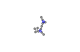 c1ccc(Cc2ccccc2-c2ccc(N(c3ccc(-c4ccccc4)cc3)c3ccc(-c4ccc(-c5ccc6c(c5)c5ccccc5n6-c5ccc(-c6ccccc6)cc5)cc4)cc3)cc2Cc2ccccc2)cc1